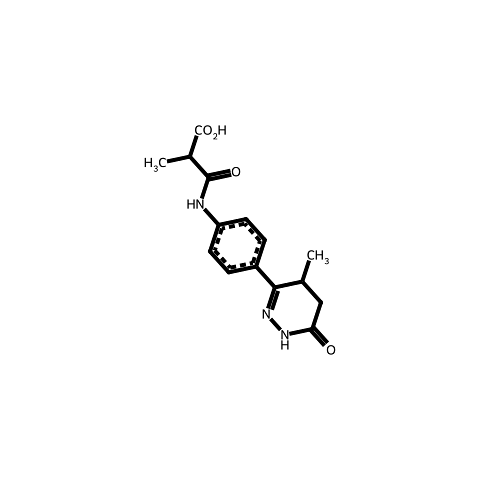 CC1CC(=O)NN=C1c1ccc(NC(=O)C(C)C(=O)O)cc1